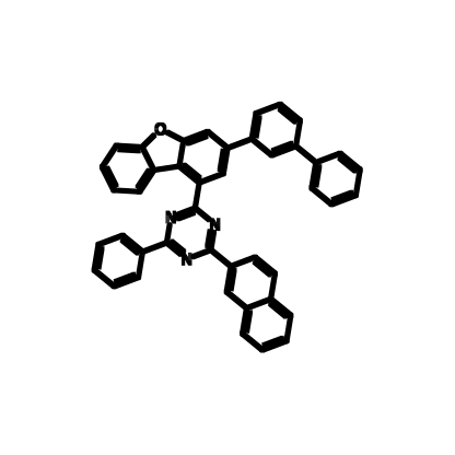 c1ccc(-c2cccc(-c3cc(-c4nc(-c5ccccc5)nc(-c5ccc6ccccc6c5)n4)c4c(c3)oc3ccccc34)c2)cc1